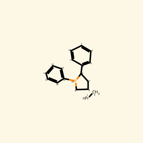 CCCC.c1ccc(C2CCCP2c2ccccc2)cc1